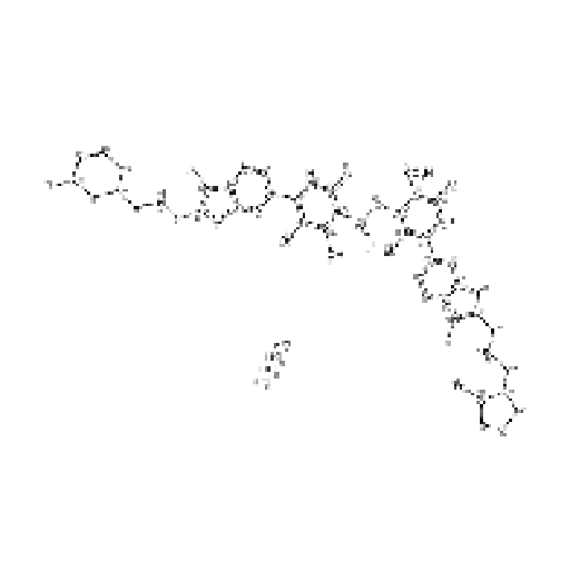 CCc1c(-c2ccc3c(c2)cc(CNCC2CCCN(C)C2)n3C)[nH]c(=O)c(C(=O)Oc2c(CC)c(-c3ccc4c(c3)cc(CNCC3CCCN3CC)n4C)[nH]c(=O)c2C(=O)O)c1O.Cl.Cl.Cl.Cl